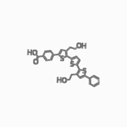 O=C(O)c1ccc(-c2cc(CCO)c(-c3ccc(-c4sc(-c5ccccc5)cc4CCO)s3)s2)cc1